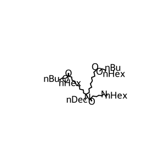 CCCCCCCCCCN(C(=O)CCCCN(C)CCCCCC)C(CCCCCCCCC(=O)OCC(CCCC)CCCCCC)CCCCCCCCC(=O)OCC(CCCC)CCCCCC